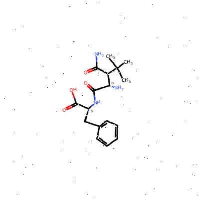 CC(C)(C)C(C(N)=O)[C@H](N)C(=O)N[C@@H](Cc1ccccc1)C(=O)O